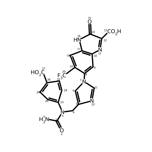 NC(=O)N(Cc1cn(-c2cc3nc(C(=O)O)c(=O)[nH]c3cc2C(F)(F)F)cn1)c1ccc(C(=O)O)cc1